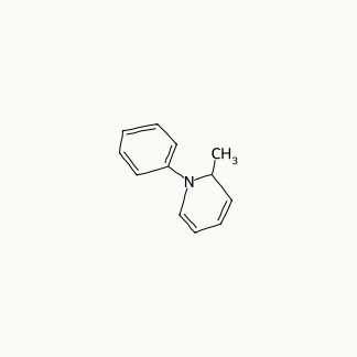 CC1C=CC=CN1c1ccccc1